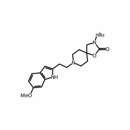 CCCCN1CC2(CCN(CCc3cc4ccc(OC)cc4[nH]3)CC2)OC1=O